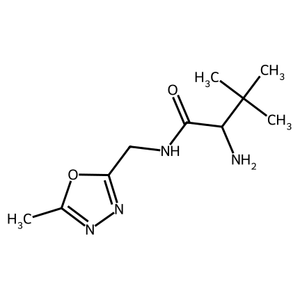 Cc1nnc(CNC(=O)C(N)C(C)(C)C)o1